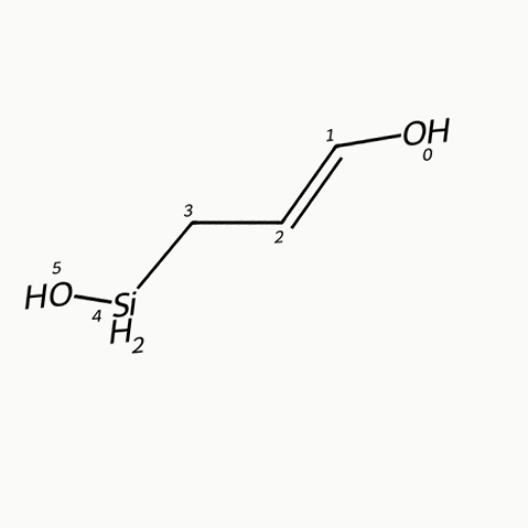 OC=CC[SiH2]O